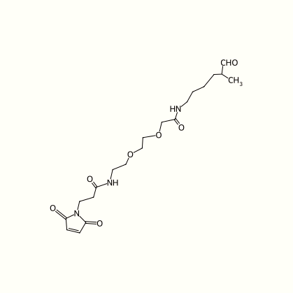 CC(C=O)CCCCNC(=O)COCCOCCNC(=O)CCN1C(=O)C=CC1=O